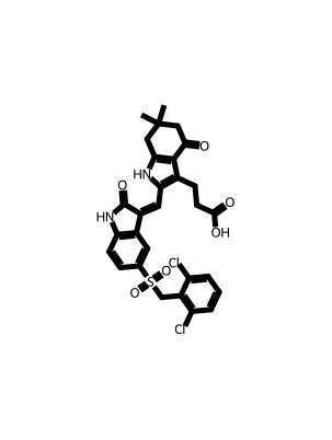 CC1(C)CC(=O)c2c([nH]c(C=C3C(=O)Nc4ccc(S(=O)(=O)Cc5c(Cl)cccc5Cl)cc43)c2CCC(=O)O)C1